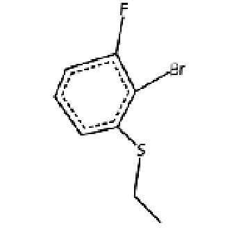 CCSc1cccc(F)c1Br